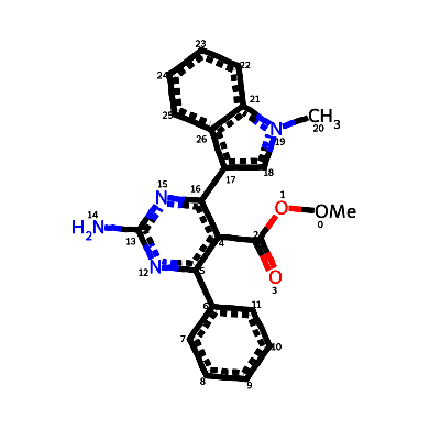 COOC(=O)c1c(-c2ccccc2)nc(N)nc1-c1cn(C)c2ccccc12